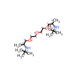 CC(COCCOCCOCC(C)NC(C)(C)C)NC(C)(C)C